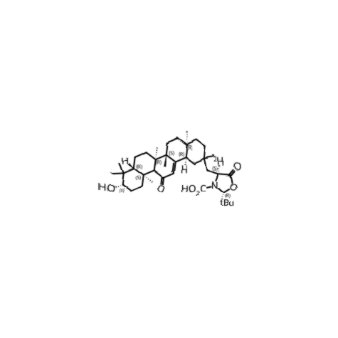 [2H][C@]1(CC2(C)CC[C@]3(C)CC[C@]4(C)C(=CC(=O)C5[C@@]6(C)CC[C@H](O)C(C)(C)[C@@H]6CC[C@]54C)[C@@H]3C2)C(=O)O[C@H](C(C)(C)C)N1C(=O)O